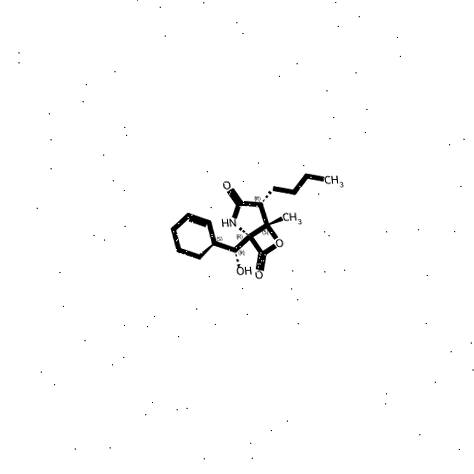 CCCC[C@H]1C(=O)N[C@@]2([C@H](O)[C@@H]3C=CCCC3)C(=O)O[C@@]12C